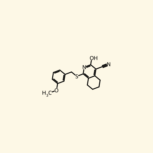 COc1cccc(CSc2nc(O)c(C#N)c3c2CCCC3)c1